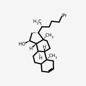 CC(C)CCC[C@@H](C)[C@H]1C[C@H](O)[C@H]2[C@@H]3CCC4CC=CC[C@]4(C)[C@H]3CC[C@@]21C